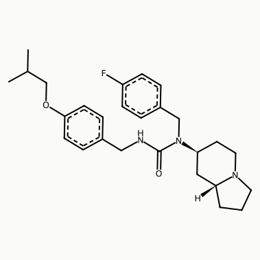 CC(C)COc1ccc(CNC(=O)N(Cc2ccc(F)cc2)[C@H]2CCN3CCC[C@@H]3C2)cc1